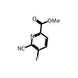 COC(=O)c1ccc(F)c(C#N)n1